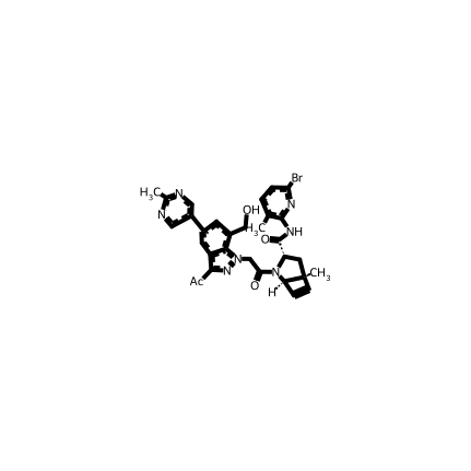 CC(=O)c1nn(CC(=O)N2[C@H](C(=O)Nc3nc(Br)ccc3C)C[C@@]3(C)C#C[C@@H]23)c2c(CO)cc(-c3cnc(C)nc3)cc12